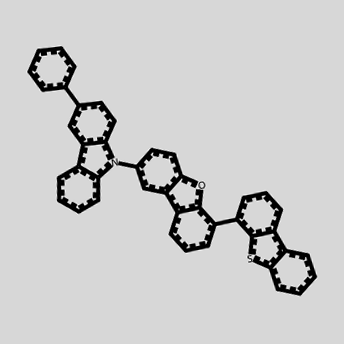 c1ccc(-c2ccc3c(c2)c2ccccc2n3-c2ccc3oc4c(-c5cccc6c5sc5ccccc56)cccc4c3c2)cc1